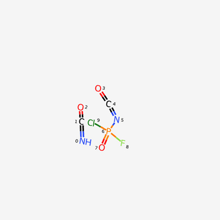 N=C=O.O=C=NP(=O)(F)Cl